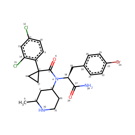 CC1CC(N(C(=O)C2(c3ccc(Cl)cc3Cl)CC2)[C@@H](Cc2ccc(Br)cc2)C(N)=O)CCN1